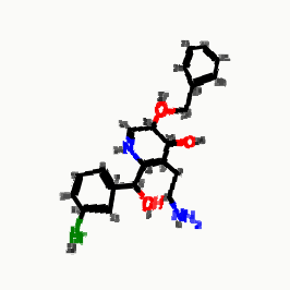 NCCC1=C(C(O)c2cccc(Br)c2)N=CC(OCc2ccccc2)C1=O